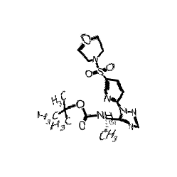 C[C@H](NC(=O)OC(C)(C)C)c1ncnn1-c1ccc(S(=O)(=O)N2CCOCC2)cn1